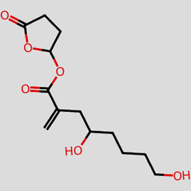 C=C(CC(O)CCCCO)C(=O)OC1CCC(=O)O1